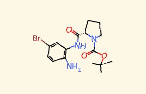 CC(C)(C)OC(=O)N1CCC[C@H]1C(=O)Nc1cc(Br)ccc1N